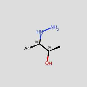 CC(=O)[C@@H](NN)[C@@H](C)O